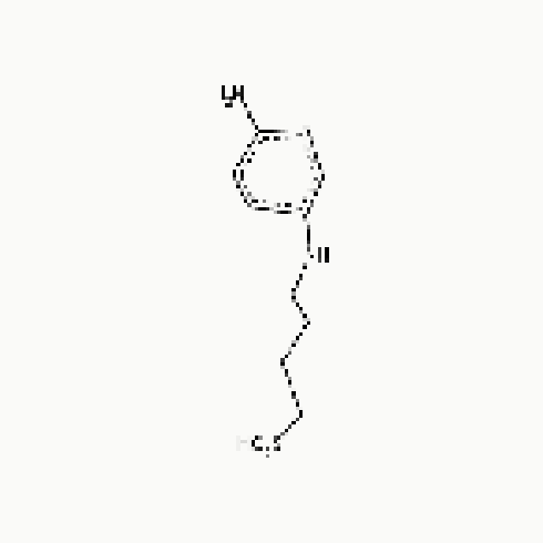 Nc1ccc(NCCCCS(=O)(=O)O)cc1